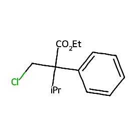 CCOC(=O)C(CCl)(c1ccccc1)C(C)C